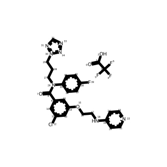 O=C(O)C(F)(F)F.O=C(c1cc(Cl)cc(OCCNc2ccncc2)c1)N(CCCn1ncnn1)c1ccc(F)cc1